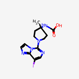 CC1(NC(=O)O)CCN(c2ncc(I)c3nccn23)CC1